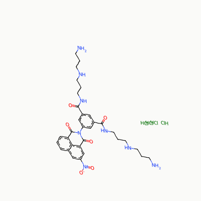 Cl.Cl.Cl.Cl.NCCCNCCCNC(=O)c1cc(C(=O)NCCCNCCCN)cc(N2C(=O)c3cccc4cc([N+](=O)[O-])cc(c34)C2=O)c1